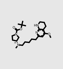 COc1cc(CCCCCN(C)[C@@H]2CCN(C(=O)OC(C)(C)C)C2)nc2c1CCCN2